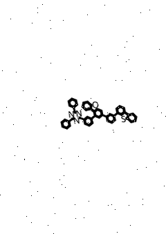 c1ccc(-c2nc(-c3ccccc3)nc(-c3cccc(-c4cc(-c5cccc(-c6cccc7c6sc6ccccc67)c5)cc5oc6ccccc6c45)c3)n2)cc1